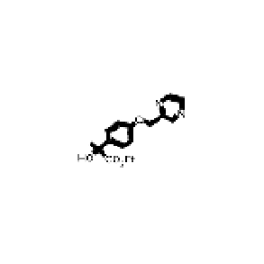 CCOC(=O)C(C)(O)c1ccc(OCc2cnccn2)cc1